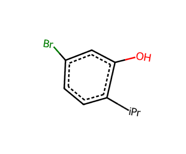 CC(C)c1ccc(Br)cc1O